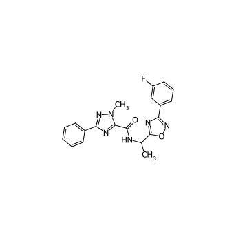 CC(NC(=O)c1nc(-c2ccccc2)nn1C)c1nc(-c2cccc(F)c2)no1